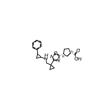 O=C(O)[C@H]1CC[C@@H](c2nc(C3(CNC4CC4c4ccccc4)CC3)no2)C1